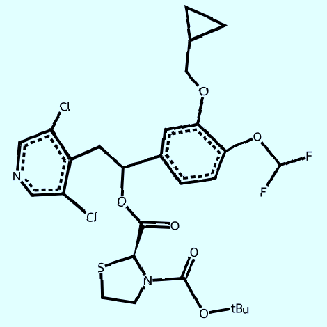 CC(C)(C)OC(=O)N1CCS[C@H]1C(=O)OC(Cc1c(Cl)cncc1Cl)c1ccc(OC(F)F)c(OCC2CC2)c1